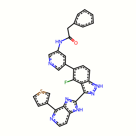 O=C(Cc1ccccc1)Nc1cncc(-c2ccc3[nH]nc(-c4nc5c(-c6ccsc6)nccc5[nH]4)c3c2F)c1